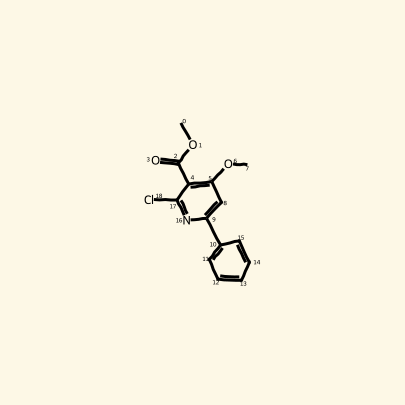 COC(=O)c1c(OC)cc(-c2ccccc2)nc1Cl